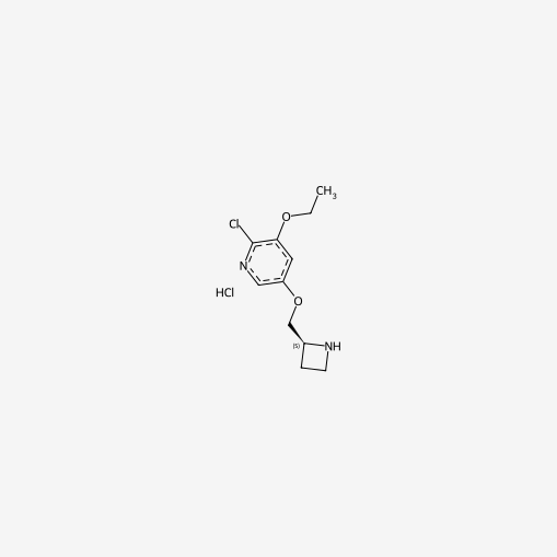 CCOc1cc(OC[C@@H]2CCN2)cnc1Cl.Cl